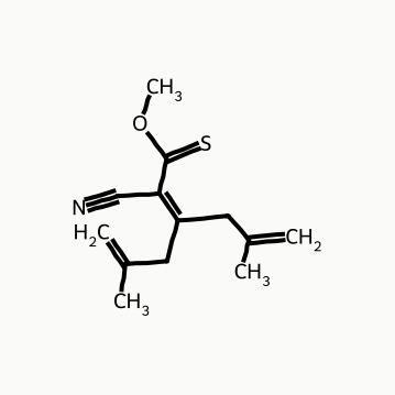 C=C(C)CC(CC(=C)C)=C(C#N)C(=S)OC